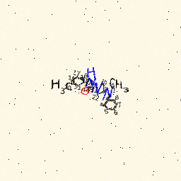 CCN(c1ccccc1)C1CN(C(=O)Nc2cccc(C)c2)C1